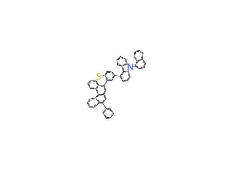 c1ccc(-c2cc3cc4c5c(cccc5c3c3ccccc23)Sc2ccc(-c3cccc5c3c3ccccc3n5-c3cccc5ccccc35)cc2-4)cc1